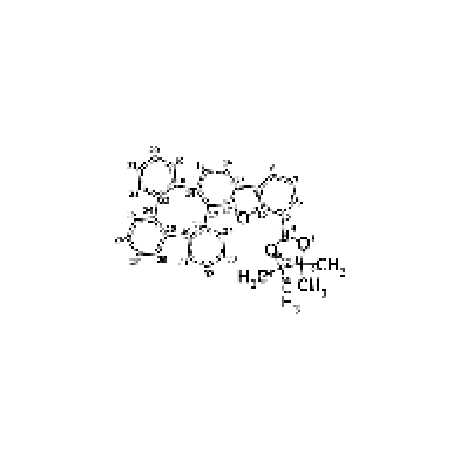 CC1(C)OB(c2cccc3c2oc2c4c(ccc23)-c2ccccc2-c2ccccc2-c2ccccc2-4)OC1(C)C